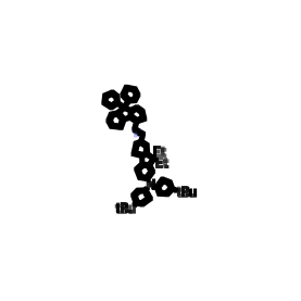 CCC1(CC)c2cc(/C=C/c3cccc4c3-c3ccccc3C4(c3ccccc3)c3ccccc3)ccc2-c2ccc(N(c3ccc(C(C)(C)C)cc3)c3ccc(C(C)(C)C)cc3)cc21